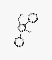 FC(F)(F)Cn1nc(-c2ccccc2)c(Cl)c1-c1ccccc1